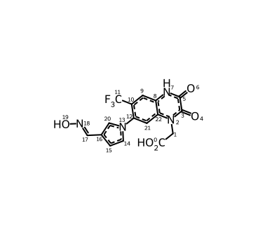 O=C(O)Cn1c(=O)c(=O)[nH]c2cc(C(F)(F)F)c(-n3ccc(C=NO)c3)cc21